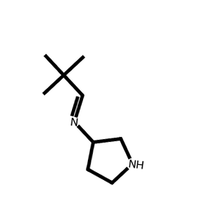 CC(C)(C)/C=N/C1CCNC1